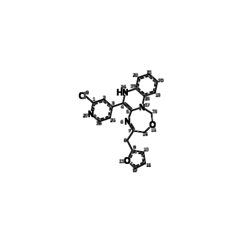 Clc1cc(C2=C3N=C(Cc4ccco4)COCN3c3ccccc3N2)ccn1